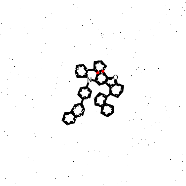 c1ccc(-c2ccccc2N(c2ccc(-c3ccc4ccccc4c3)cc2)c2ccc3oc4cccc(-c5cccc6ccccc56)c4c3c2)cc1